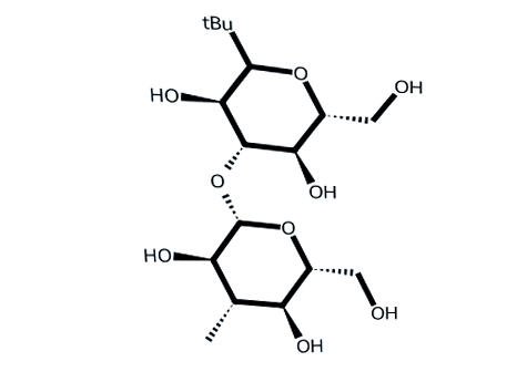 C[C@@H]1[C@@H](O)[C@H](O[C@H]2[C@H](O)[C@@H](CO)OC(C(C)(C)C)[C@@H]2O)O[C@H](CO)[C@H]1O